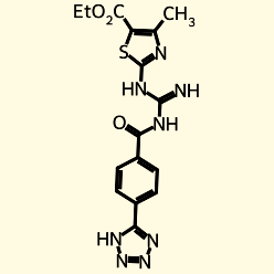 CCOC(=O)c1sc(NC(=N)NC(=O)c2ccc(-c3nnn[nH]3)cc2)nc1C